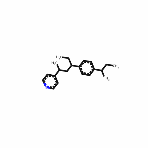 CCC(C)c1ccc(C(CC)CC(C)c2ccncc2)cc1